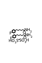 NC(=O)CCCCCc1ccc(F)cc1.NC(=O)CCCCCc1ccc(F)cc1.O=S(=O)(O)CS(=O)(=O)O